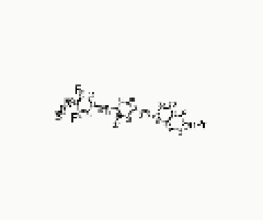 CCCC1CCc2cc(C#Cc3ccc(C#Cc4cc(F)c(N=C=S)c(F)c4)c(C)c3)ccc2C1